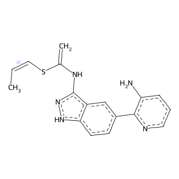 C=C(Nc1n[nH]c2ccc(-c3ncccc3N)cc12)S/C=C\C